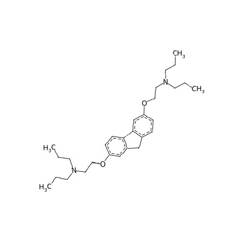 CCCN(CCC)CCOc1ccc2c(c1)Cc1ccc(OCCN(CCC)CCC)cc1-2